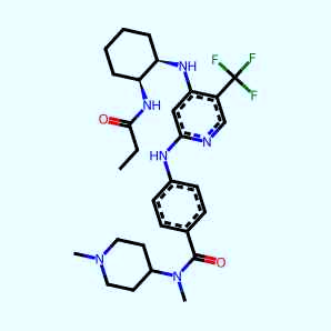 CCC(=O)N[C@H]1CCCC[C@H]1Nc1cc(Nc2ccc(C(=O)N(C)C3CCN(C)CC3)cc2)ncc1C(F)(F)F